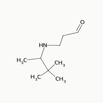 CC(NCCC=O)C(C)(C)C